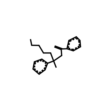 C=C(CC(C)(CCCCC)c1ccccc1)c1ccccc1